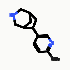 COc1ccc(C2CC3CNCC2C3)cn1